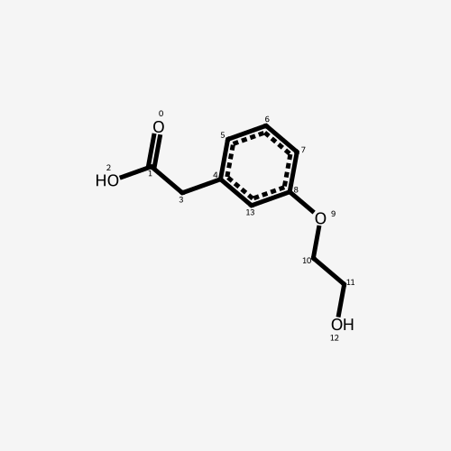 O=C(O)Cc1cccc(OCCO)c1